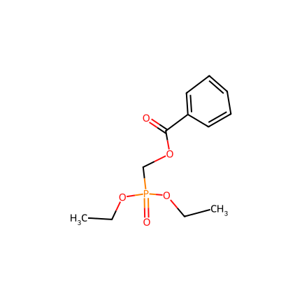 CCOP(=O)(COC(=O)c1ccccc1)OCC